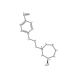 COc1ccc(CCCN2CCCC[C@@H](Cl)C2)cc1